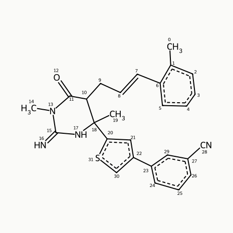 Cc1ccccc1/C=C/CC1C(=O)N(C)C(=N)NC1(C)c1cc(-c2cccc(C#N)c2)cs1